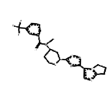 CN(C(=O)c1cccc(C(F)(F)F)c1)[C@@H]1CCO[C@H](c2nnc(-c3cnc4n3CCC4)o2)C1